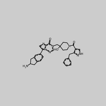 NC1Cc2ccc(-c3cnc4c(=O)n(CC5(O)CCN(C(=O)c6c[nH]nc6Cc6ccccc6)CC5)cnn34)cc2C1